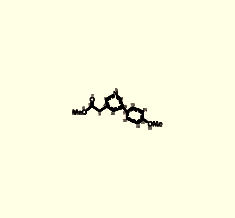 COC(=O)Cc1cncc(-c2ccc(OC)cc2)c1